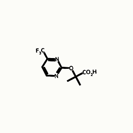 CC(C)(Oc1nccc(C(F)(F)F)n1)C(=O)O